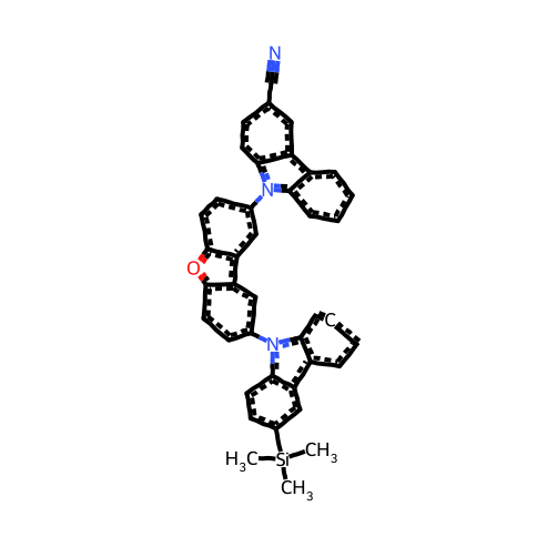 C[Si](C)(C)c1ccc2c(c1)c1ccccc1n2-c1ccc2oc3ccc(-n4c5ccccc5c5cc(C#N)ccc54)cc3c2c1